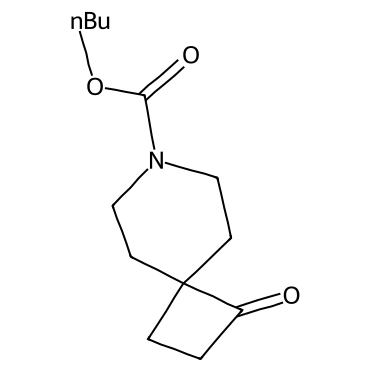 CCCCOC(=O)N1CCC2(CCC2=O)CC1